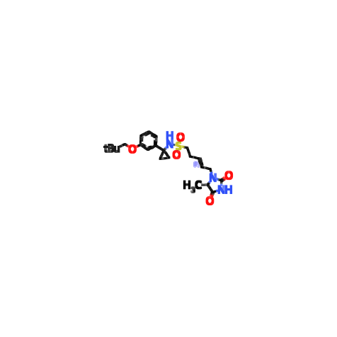 CC1C(=O)NC(=O)N1C/C=C/CCS(=O)(=O)NC1(c2cccc(OCC(C)(C)C)c2)CC1